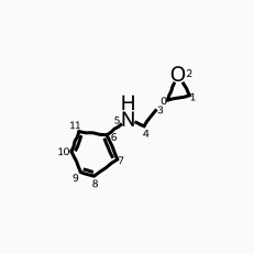 C1CO1.CCNc1ccccc1